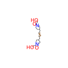 O=C(CO)N1CCC(CCSCCC2CCN(C(=O)CO)CC2)CC1